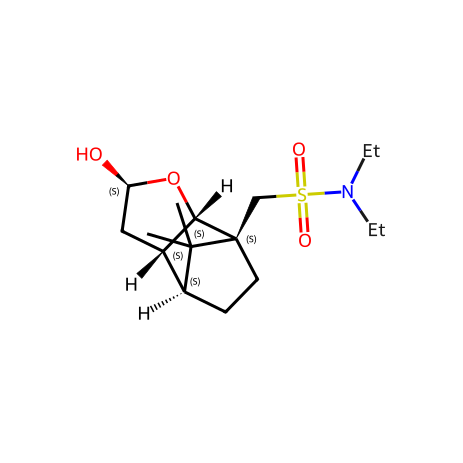 CCN(CC)S(=O)(=O)C[C@]12CC[C@@H]([C@@H]3C[C@@H](O)O[C@@H]31)C2(C)C